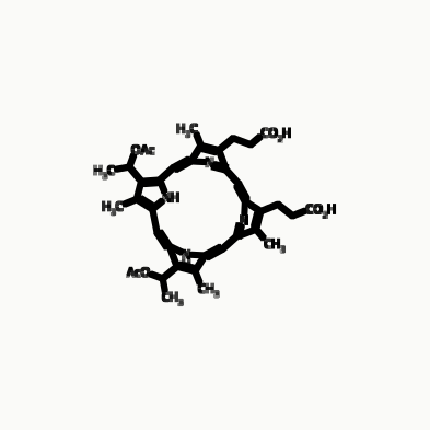 CC(=O)OC(C)c1c(C)c2cc3[nH]c(cc4nc(cc5nc(cc1[nH]2)C(C)=C5CCC(=O)O)C(CCC(=O)O)=C4C)c(C)c3C(C)OC(C)=O